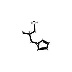 CC(CO)Cn1cccc1